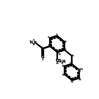 NC(=O)c1cccc(Cc2ccccn2)c1C(=O)O